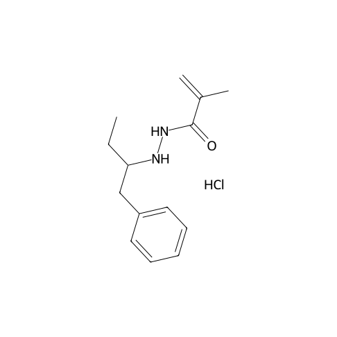 C=C(C)C(=O)NNC(CC)Cc1ccccc1.Cl